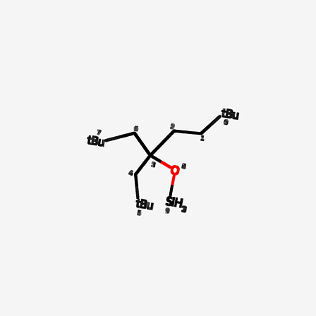 CC(C)(C)CCC(CC(C)(C)C)(CC(C)(C)C)O[SiH3]